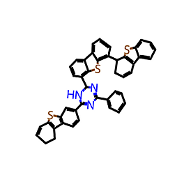 C1=Cc2sc3cc(C4=NC(c5ccccc5)=NC(c5cccc6c5sc5c(C7CC=Cc8c7sc7ccccc87)cccc56)N4)ccc3c2CC1